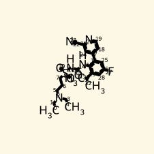 CCN(CC)CCCS(=O)(=O)NC(=O)Nc1c(-c2ccnc(C#N)c2)cc(F)cc1C(C)C